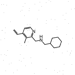 C=Cc1ccnc(CNCC2CCCCC2)c1C